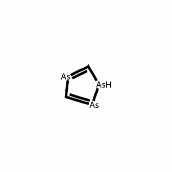 [C]1=[As]C=[As][AsH]1